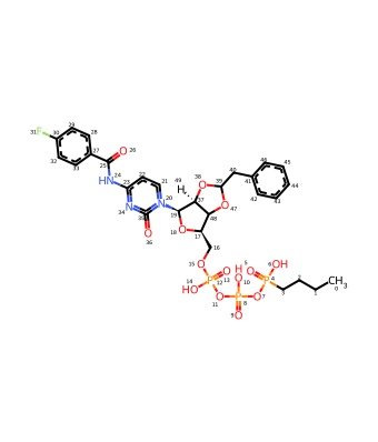 CCCCP(=O)(O)OP(=O)(O)OP(=O)(O)OC[C@H]1O[C@@H](n2ccc(NC(=O)c3ccc(F)cc3)nc2=O)[C@H]2OC(Cc3ccccc3)OC12